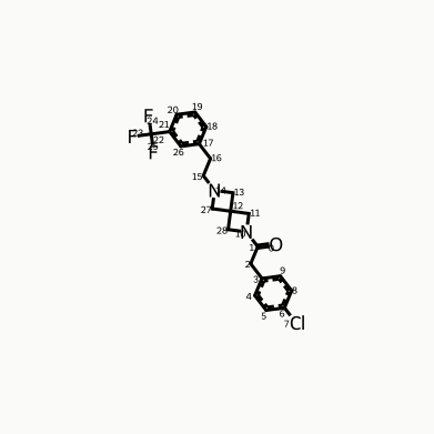 O=C(Cc1ccc(Cl)cc1)N1CC2(CN(CCc3cccc(C(F)(F)F)c3)C2)C1